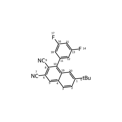 CC(C)(C)c1ccc2cc(C#N)c(C#N)c(-c3cc(F)cc(F)c3)c2c1